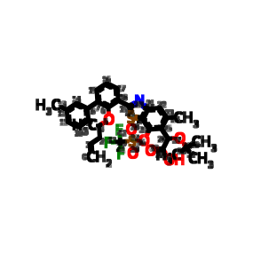 C=CC[C@H](C)Oc1c(-c2cccc(C)c2)cccc1-c1nc2cc(C)c(C(OC(C)(C)C)C(=O)O)c(OS(=O)(=O)C(F)(F)F)c2s1